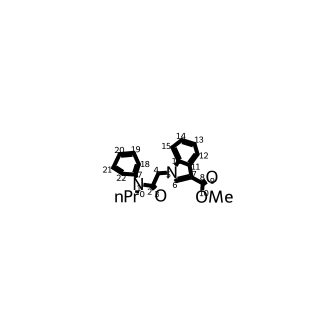 CCCN(C(=O)Cn1cc(C(=O)OC)c2ccccc21)c1ccccc1